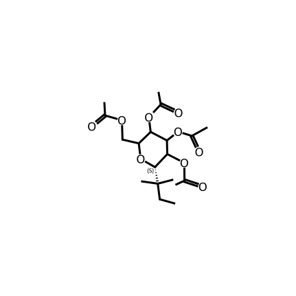 CCC(C)(C)[C@@H]1OC(COC(C)=O)C(OC(C)=O)C(OC(C)=O)C1OC(C)=O